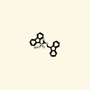 COP(=O)(C(=O)OCC1c2ccccc2-c2ccccc21)C1c2ccccc2-c2ccccc21